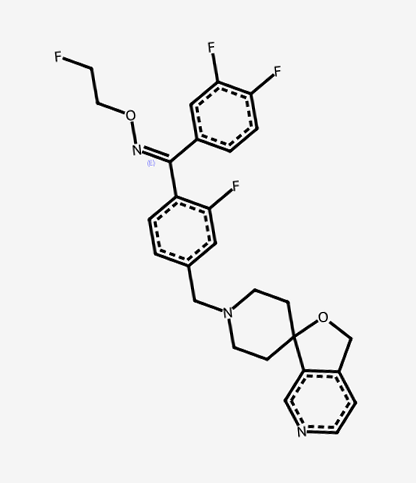 FCCO/N=C(\c1ccc(F)c(F)c1)c1ccc(CN2CCC3(CC2)OCc2ccncc23)cc1F